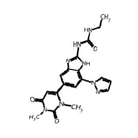 CCNC(=O)Nc1nc2cc(-c3cc(=O)n(C)c(=O)n3C)cc(-n3cccn3)c2[nH]1